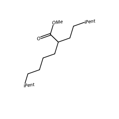 CCCC(C)CCCCC(CCC(C)CCC)C(=O)OC